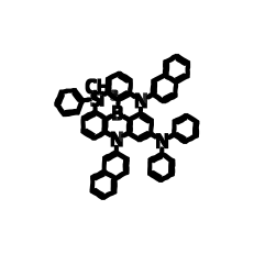 C[Si]1(c2ccccc2)c2cccc3c2B2c4c(cc(N(c5ccccc5)c5ccccc5)cc4N(c4ccc5ccccc5c4)c4cccc1c42)N3c1ccc2ccccc2c1